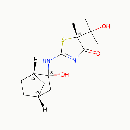 CC(C)(O)[C@@]1(C)SC(N[C@@]2(O)C[C@@H]3CC[C@H]2C3)=NC1=O